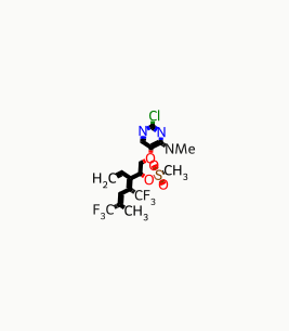 C=C/C(=C(\C=C(/C)C(F)(F)F)C(F)(F)F)C(COc1cnc(Cl)nc1NC)OS(C)(=O)=O